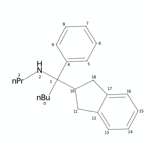 CCCCC(NCCC)(c1ccccc1)C1Cc2ccccc2C1